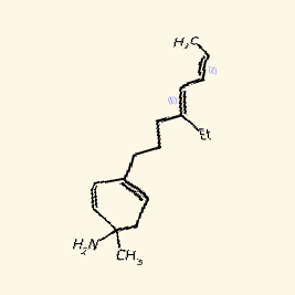 C/C=C\C=C(/CC)CCCC1=CCC(C)(N)C=C1